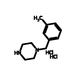 Cc1cccc(CN2CCNCC2)c1.Cl.Cl